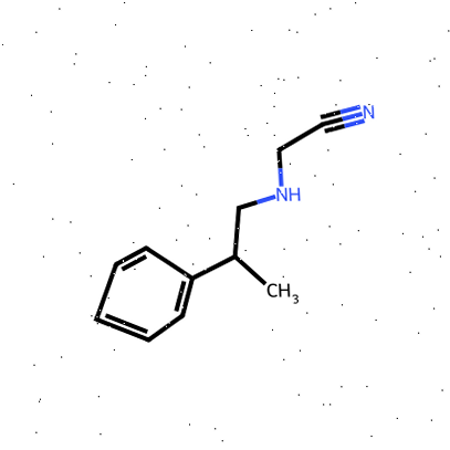 CC(CNCC#N)c1ccccc1